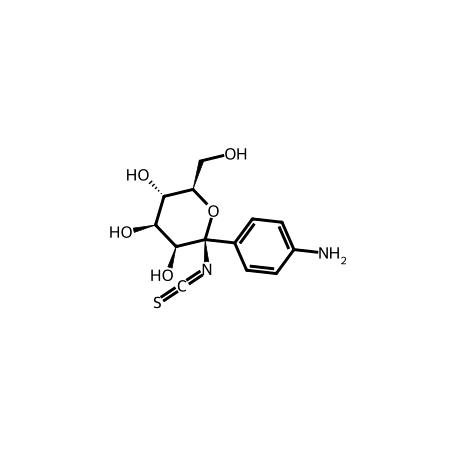 Nc1ccc([C@@]2(N=C=S)O[C@H](CO)[C@@H](O)[C@H](O)[C@@H]2O)cc1